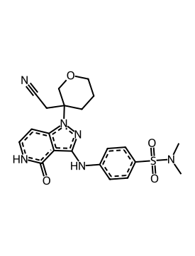 CN(C)S(=O)(=O)c1ccc(Nc2nn(C3(CC#N)CCCOC3)c3cc[nH]c(=O)c23)cc1